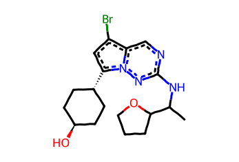 CC(Nc1ncc2c(Br)cc([C@H]3CC[C@H](O)CC3)n2n1)C1CCCO1